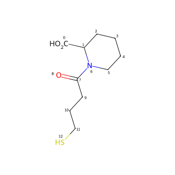 O=C(O)C1CCCCN1C(=O)CCCS